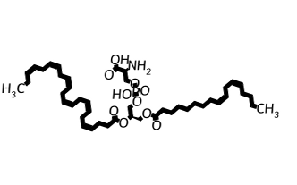 CC/C=C\C/C=C\C/C=C\C/C=C\C/C=C\C/C=C\CCC(=O)O[C@H](COC(=O)CCCCCCC/C=C\C/C=C\CCCC)COP(=O)(O)OC[C@H](N)C(=O)O